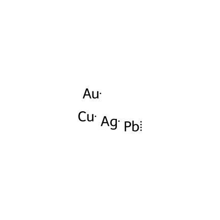 [Ag].[Au].[Cu].[Pb]